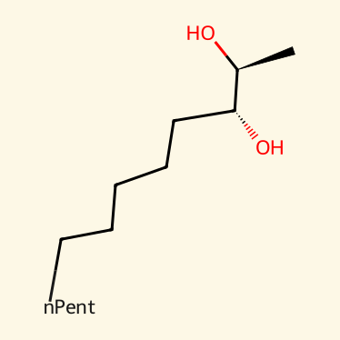 CCCCCCCCCC[C@@H](O)[C@H](C)O